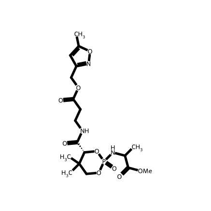 COC(=O)C(C)NP1(=O)OCC(C)(C)[C@H](C(=O)NCCC(=O)OCc2cc(C)on2)O1